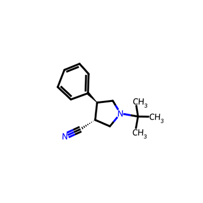 CC(C)(C)N1C[C@H](c2ccccc2)[C@@H](C#N)C1